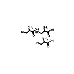 NC(CO)C(=O)O.NC(CO)C(=O)O.NC(CO)C(=O)O